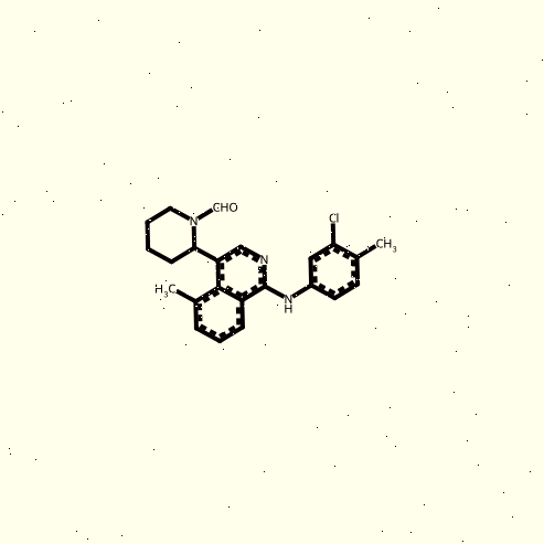 Cc1ccc(Nc2ncc(C3CCCCN3C=O)c3c(C)cccc23)cc1Cl